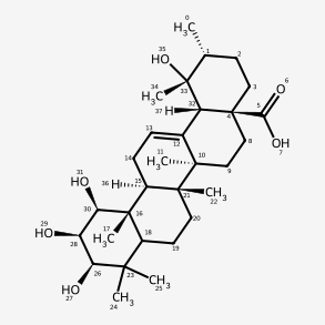 C[C@@H]1CC[C@]2(C(=O)O)CC[C@]3(C)C(=CC[C@@H]4[C@]5(C)C(CC[C@]43C)C(C)(C)[C@@H](O)[C@@H](O)[C@H]5O)[C@@H]2[C@]1(C)O